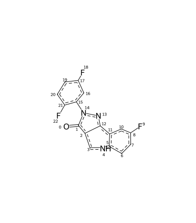 O=c1c2c[nH]c3ccc(F)cc3c-2nn1-c1cc(F)ccc1F